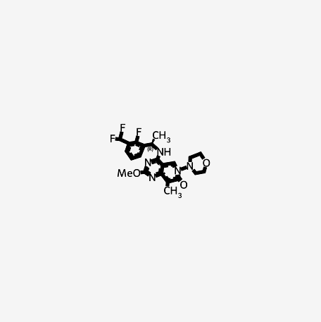 COc1nc(N[C@H](C)c2cccc(C(F)F)c2F)c2cn(N3CCOCC3)c(=O)c(C)c2n1